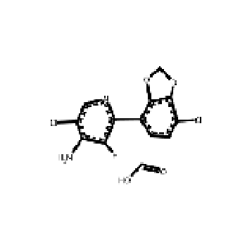 Nc1c(Cl)cnc(-c2ccc(Cl)c3c2OCO3)c1F.O=CO